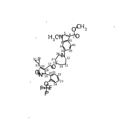 COC(=O)c1cn(C)c2cc(N3CCCC(OCc4c(-c5ccccc5OC(F)(F)F)noc4C4CC4)CC3)ccc12